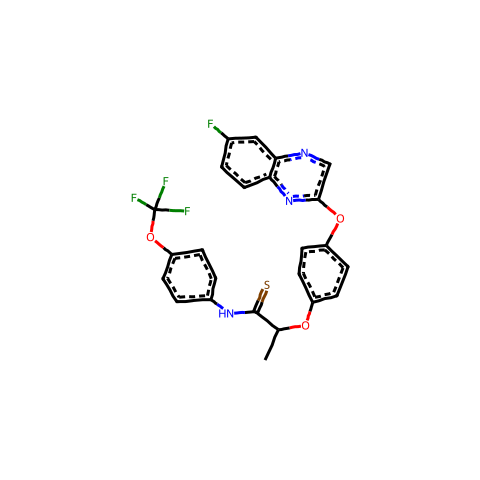 CC(Oc1ccc(Oc2cnc3cc(F)ccc3n2)cc1)C(=S)Nc1ccc(OC(F)(F)F)cc1